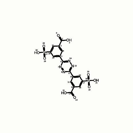 O=C(O)c1cc(-c2nnc(-c3cc(C(=O)O)cc(S(=O)(=O)O)c3)nn2)cc(S(=O)(=O)O)c1